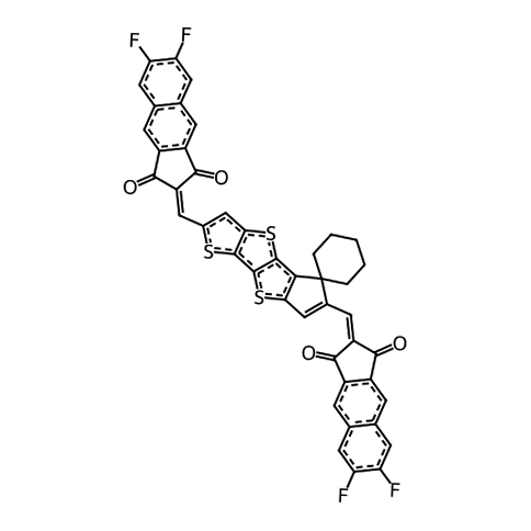 O=C1C(=CC2=Cc3sc4c(sc5cc(C=C6C(=O)c7cc8cc(F)c(F)cc8cc7C6=O)sc54)c3C23CCCCC3)C(=O)c2cc3cc(F)c(F)cc3cc21